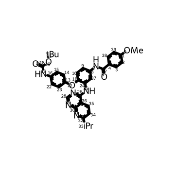 COc1ccc(C(=O)Nc2ccc(Oc3ccc(NC(=O)OC(C)(C)C)cc3)c(Nc3ncnc4nc(C(C)C)ccc34)c2)cc1